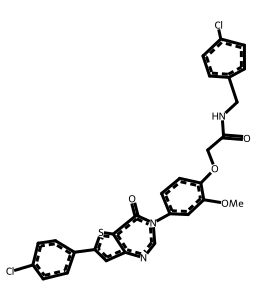 COc1cc(-n2cnc3cc(-c4ccc(Cl)cc4)sc3c2=O)ccc1OCC(=O)NCc1ccc(Cl)cc1